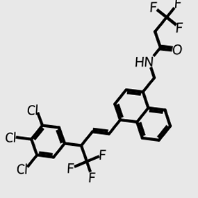 O=C(CC(F)(F)F)NCc1ccc(/C=C/C(c2cc(Cl)c(Cl)c(Cl)c2)C(F)(F)F)c2ccccc12